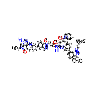 CCCN(CCC)C(=O)C1=Cc2ccc(-c3ccc4c(=O)n(CC[S+]([O-])NC5=Nc6cc(-c7ccc(C=O)c(/C=N\N(C)CCCSC)c7)ccc6C=C(C(=O)N(CCC)CCC)C5)ncc4c3)cc2N=C(N)C1